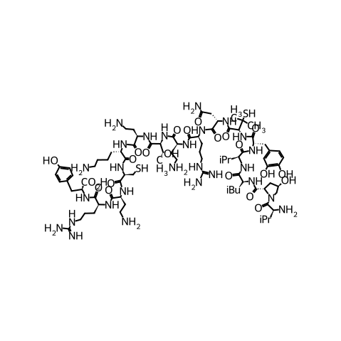 CC[C@H](C)[C@H](NC(=O)[C@@H]1C[C@@H](O)CN1C(=O)[C@@H](N)C(C)C)C(=O)N[C@H](C(=O)N[C@@H](Cc1ccc(O)c(O)c1)C(=O)N[C@H](C(=O)N[C@@H](CC(N)=O)C(=O)N[C@@H](CCCNC(=N)N)C(=O)N[C@@H](CCN)C(=O)N[C@H](C(=O)N[C@H](CCN)C(=O)N[C@@H](CCCCN)C(=O)N[C@@H](CS)C(=O)N[C@@H](CCN)C(=O)N[C@@H](CCCNC(=N)N)C(=O)N[C@@H](Cc1ccc(O)cc1)C(=O)O)[C@@H](C)O)C(C)(C)S)C(C)C